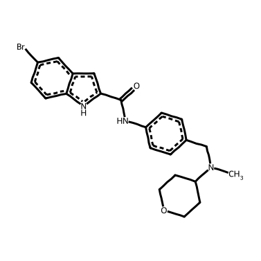 CN(Cc1ccc(NC(=O)c2cc3cc(Br)ccc3[nH]2)cc1)C1CCOCC1